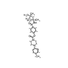 Cc1ccc(N2CCN(C(=O)Oc3ccc(C(=O)NC(C)(C)CC(C)(C)C)cc3)CC2)nc1